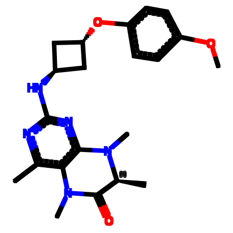 COc1ccc(O[C@H]2C[C@H](Nc3nc(C)c4c(n3)N(C)[C@@H](C)C(=O)N4C)C2)cc1